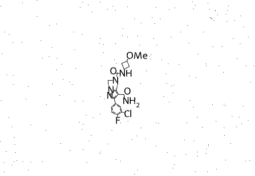 CO[C@H]1C[C@@H](NC(=O)N2CCn3nc(-c4ccc(F)c(Cl)c4)c(C(N)=O)c3C2)C1